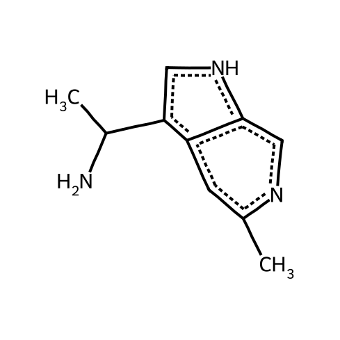 Cc1cc2c(C(C)N)c[nH]c2cn1